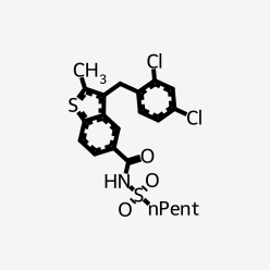 CCCCCS(=O)(=O)NC(=O)c1ccc2sc(C)c(Cc3ccc(Cl)cc3Cl)c2c1